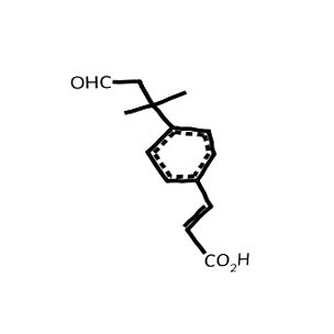 CC(C)(CC=O)c1ccc(/C=C/C(=O)O)cc1